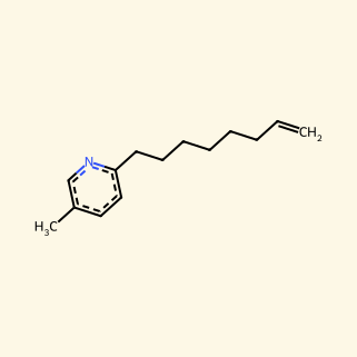 C=CCCCCCCc1ccc(C)cn1